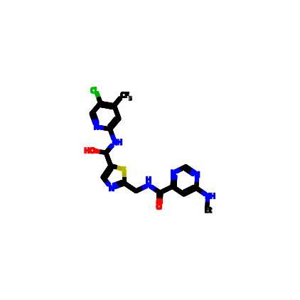 CCNc1cc(C(=O)NCc2ncc(C(O)Nc3cc(C(F)(F)F)c(Cl)cn3)s2)ncn1